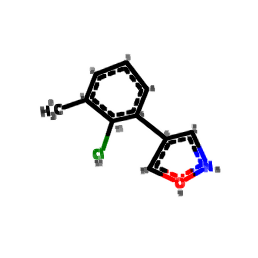 Cc1cccc(-c2[c]noc2)c1Cl